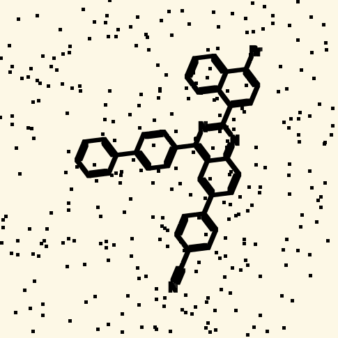 N#Cc1ccc(-c2ccc3nc(-c4ccc(Br)c5ccccc45)nc(-c4ccc(-c5ccccc5)cc4)c3c2)cc1